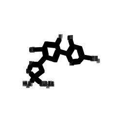 CCOC(=O)C1(C)CC(c2cc(-c3ncc(C)cc3Cl)c(F)cc2Cl)=NO1